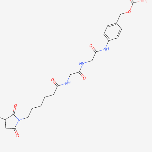 BC(=O)OCc1ccc(NC(=O)CNC(=O)CNC(=O)CCCCCN2C(=O)CC(C(C)C)C2=O)cc1